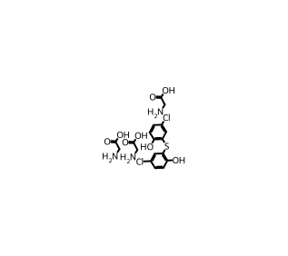 NCC(=O)O.NCC(=O)O.NCC(=O)O.Oc1ccc(Cl)cc1Sc1cc(Cl)ccc1O